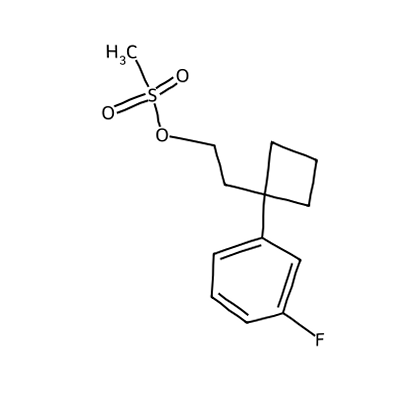 CS(=O)(=O)OCCC1(c2cccc(F)c2)CCC1